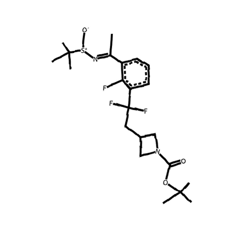 CC(=N[S+]([O-])C(C)(C)C)c1cccc(C(F)(F)CC2CN(C(=O)OC(C)(C)C)C2)c1F